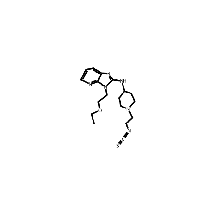 CCOCCn1c(NC2CCN(CCN=C=S)CC2)nc2cccnc21